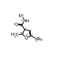 CCCCC1=CC(C(=O)NCC)C(C)O1